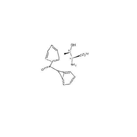 C[C@@H](O)[C@H](N)C(=O)O.O=C(c1ccccc1)C1c2ccccc21